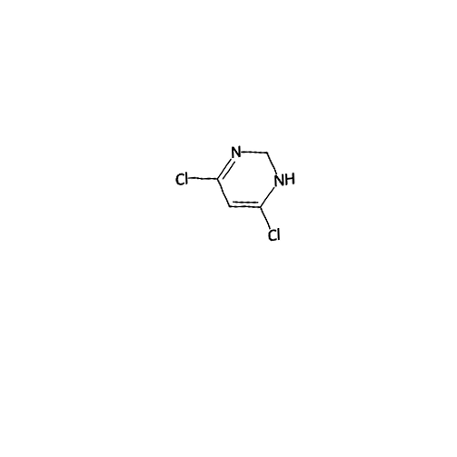 ClC1=CC(Cl)=NCN1